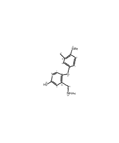 CSc1ccc(Oc2ccc(S)cc2CNC(C)=O)cc1C